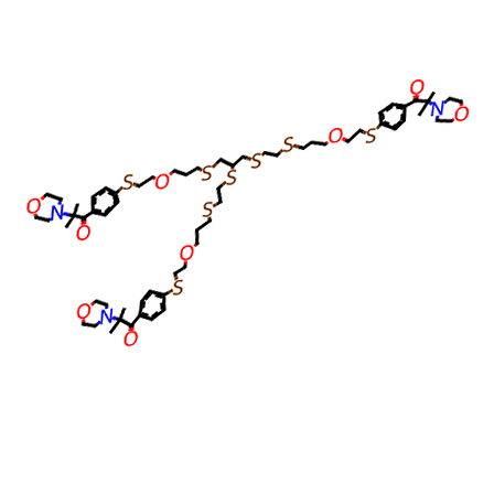 CC(C)(C(=O)c1ccc(SCCOCCCSCCSCC(CSCCCOCCSc2ccc(C(=O)C(C)(C)N3CCOCC3)cc2)SCCSCCCOCCSc2ccc(C(=O)C(C)(C)N3CCOCC3)cc2)cc1)N1CCOCC1